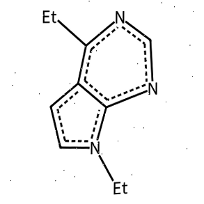 CCc1ncnc2c1ccn2CC